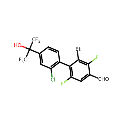 CCc1c(F)c(C=O)cc(F)c1-c1ccc(C(O)(C(F)(F)F)C(F)(F)F)cc1Cl